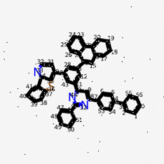 c1ccc(-c2ccc(-c3cc(-c4cc(-c5cc6ccccc6c6ccccc56)cc(-c5ccnc6c5sc5ccccc56)c4)nc(-c4ccccc4)n3)cc2)cc1